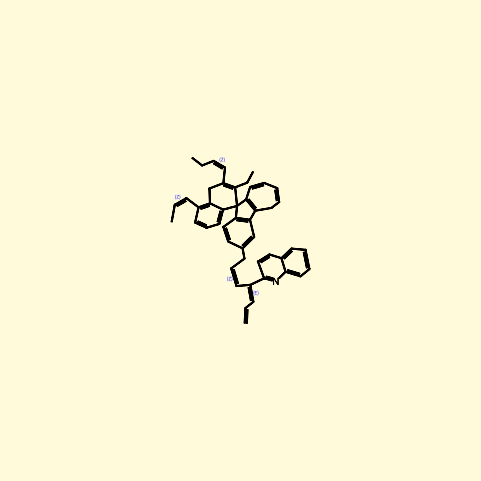 C=C/C=C(\C=C/Cc1ccc2c(c1)C1=C(C=CC=CC1)C21C(CC)=C(/C=C\CC)Cc2c(/C=C\C)cccc21)c1ccc2ccccc2n1